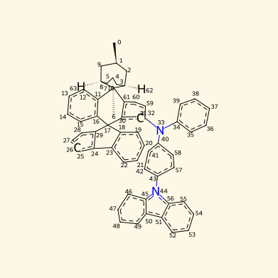 C[C@H]1C[C@@H]2C[C@@H](C)C[C@H](C1)C21c2ccccc2C2(c3ccccc3-c3ccccc32)c2cc(N(c3ccccc3)c3ccc(-n4c5ccccc5c5ccccc54)cc3)ccc21